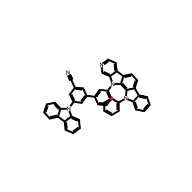 N#Cc1cc(-c2cccc(-n3c4cnccc4c4ccc5c6ccccc6n(-c6ccccc6)c5c43)c2)cc(-n2c3ccccc3c3ccccc32)c1